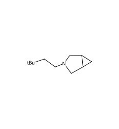 CC(C)(C)CCN1CC2CC2C1